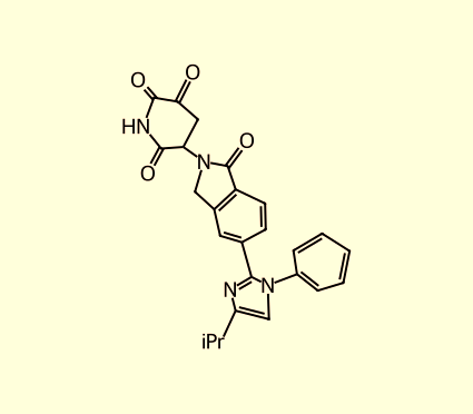 CC(C)c1cn(-c2ccccc2)c(-c2ccc3c(c2)CN(C2CC(=O)C(=O)NC2=O)C3=O)n1